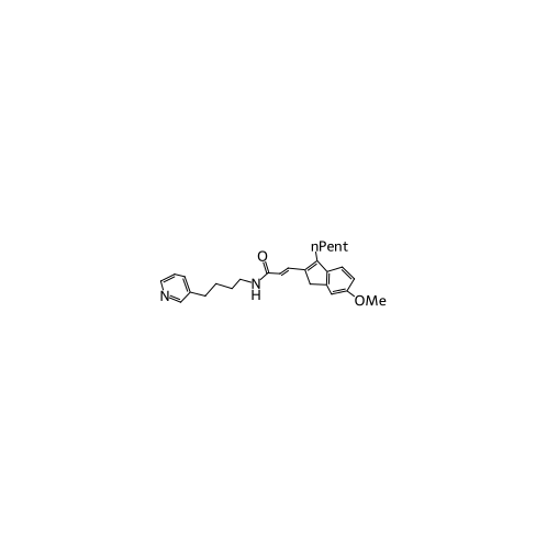 CCCCCC1=C(C=CC(=O)NCCCCc2cccnc2)Cc2cc(OC)ccc21